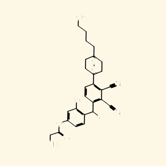 CCCCCC12CCC(c3ccc(C(C)c4ccc(OC(=O)CC)cc4Br)c(C#N)c3C#N)(CC1)CC2